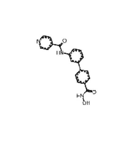 O=C(NO)c1ccc(-c2cccc(NC(=O)c3ccncc3)c2)cc1